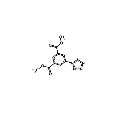 COC(=O)c1cc(C(=O)OC)cc(-n2[c]nnn2)c1